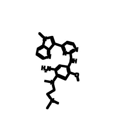 COc1cc(N(C)CCN(C)C)c(N)cc1Nc1nccc(-c2cn(C)c3cccnc23)n1